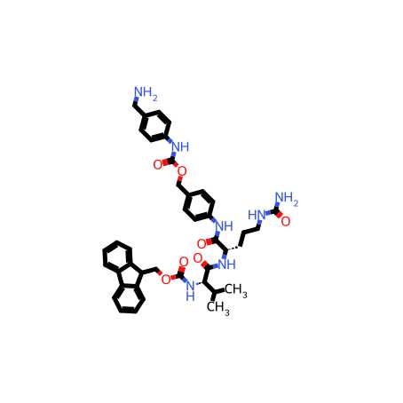 CC(C)[C@H](NC(=O)OCC1c2ccccc2-c2ccccc21)C(=O)N[C@@H](CCCNC(N)=O)C(=O)Nc1ccc(COC(=O)Nc2ccc(CN)cc2)cc1